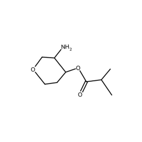 CC(C)C(=O)OC1CCOCC1N